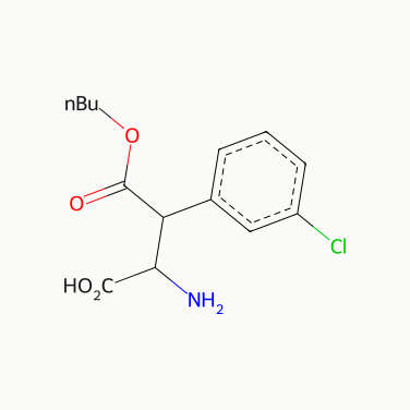 CCCCOC(=O)C(c1cccc(Cl)c1)C(N)C(=O)O